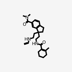 C=CNCCC1(CCNC(=O)C2=C(C)CCCC2)CCc2ccc(C(=O)N(C)C)cc21